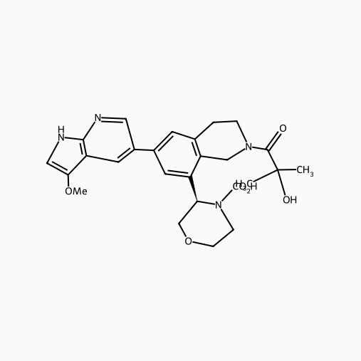 COc1c[nH]c2ncc(-c3cc4c(c([C@@H]5COCCN5C(=O)O)c3)CN(C(=O)C(C)(C)O)CC4)cc12